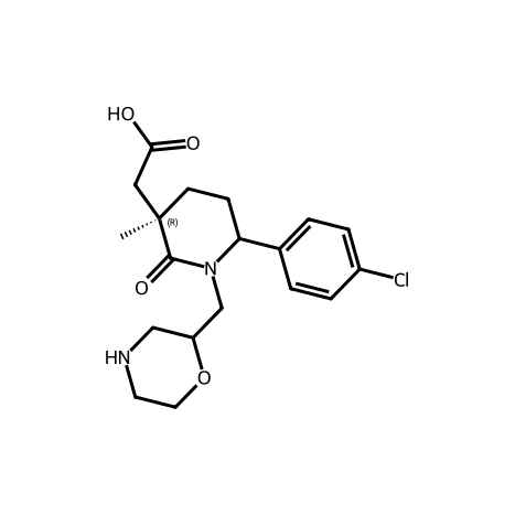 C[C@]1(CC(=O)O)CCC(c2ccc(Cl)cc2)N(CC2CNCCO2)C1=O